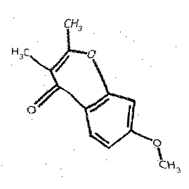 COc1ccc2c(=O)c(C)c(C)oc2c1